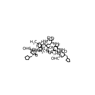 CC[C@@](CCC(Nc1nc(C)nc(NNC(=O)[C@H](CC2CCCC2)CN(O)C=O)c1F)C(=O)N(C)C)(Nc1nc(C)nc(NNC(=O)[C@H](CC2CCCC2)CN(O)C=O)c1F)C(=O)N(C)C